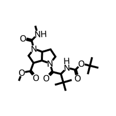 CNC(=O)N1CC(C(=O)OC)C2C1CCN2C(=O)C(NC(=O)OC(C)(C)C)C(C)(C)C